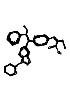 CCC(=Cc1ccc(C(=C(CC)c2ccccc2)c2ccc3c(c2)nnn3C2CCCCO2)cc1)C(=O)O